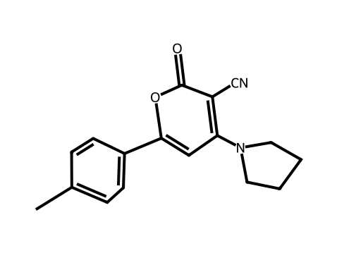 Cc1ccc(-c2cc(N3CCCC3)c(C#N)c(=O)o2)cc1